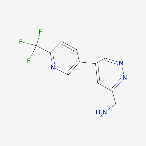 NCc1cc(-c2ccc(C(F)(F)F)nc2)cnn1